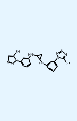 Sc1cnnn1-c1cccc(NC2CC2Nc2cccc(-n3nnnc3S)c2)c1